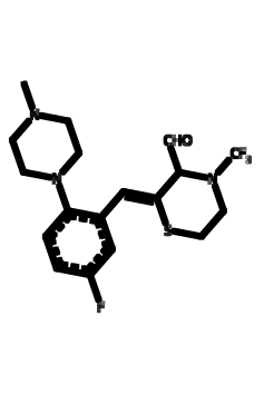 CN1CCN(c2ccc(F)cc2C=C2SCCN(C(F)(F)F)C2C=O)CC1